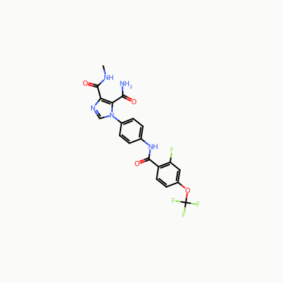 CNC(=O)c1ncn(-c2ccc(NC(=O)c3ccc(OC(F)(F)F)cc3F)cc2)c1C(N)=O